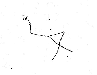 CC1(C)CC1CBr